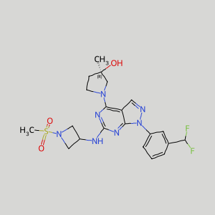 C[C@@]1(O)CCN(c2nc(NC3CN(S(C)(=O)=O)C3)nc3c2cnn3-c2cccc(C(F)F)c2)C1